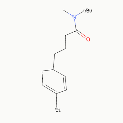 CCCCN(C)C(=O)CCCC1C=CC(CC)=CC1